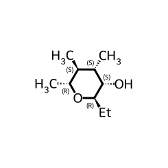 CC[C@H]1O[C@H](C)[C@@H](C)[C@H](C)[C@@H]1O